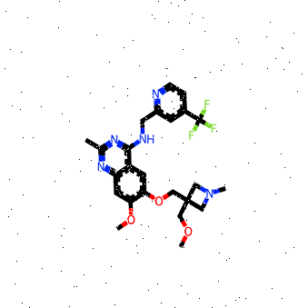 COCC1(COc2cc3c(NCc4cc(C(F)(F)F)ccn4)nc(C)nc3cc2OC)CN(C)C1